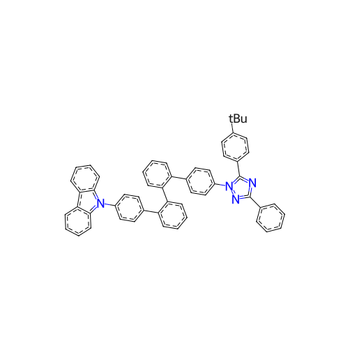 CC(C)(C)c1ccc(-c2nc(-c3ccccc3)nn2-c2ccc(-c3ccccc3-c3ccccc3-c3ccc(-n4c5ccccc5c5ccccc54)cc3)cc2)cc1